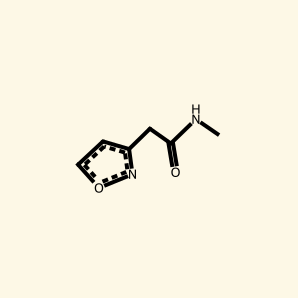 CNC(=O)Cc1ccon1